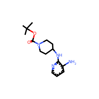 CC(C)(C)OC(=O)N1CCC(Nc2ncccc2N)CC1